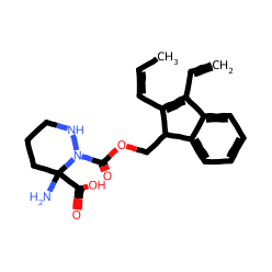 C=CC1=C(/C=C\C)C(COC(=O)N2NCCCC2(N)C(=O)O)c2ccccc21